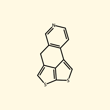 c1cc2c(cn1)Cc1csc3scc-2c13